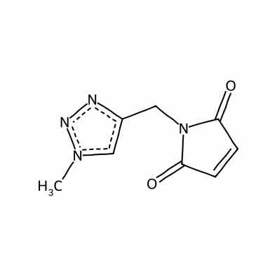 Cn1cc(CN2C(=O)C=CC2=O)nn1